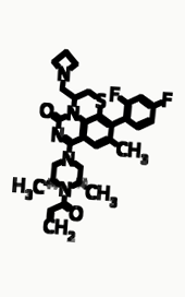 C=CC(=O)N1[C@H](C)CN(c2nc(=O)n3c4c(c(-c5ccc(F)cc5F)c(C)cc24)SCC3CN2CCC2)C[C@@H]1C